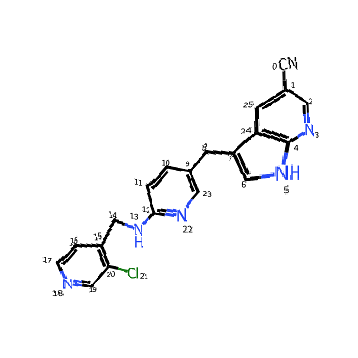 N#Cc1cnc2[nH]cc(Cc3ccc(NCc4ccncc4Cl)nc3)c2c1